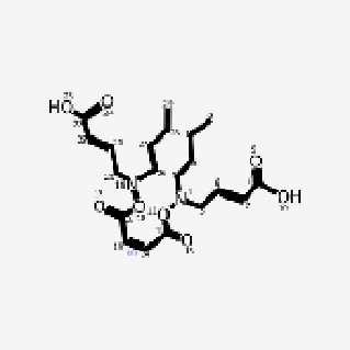 CCCCN(CC=CC(=O)O)OC(=O)/C=C\C(=O)ON(CC=CC(=O)O)CCCC